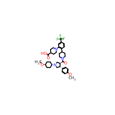 COc1ccc([C@@H]2CN([C@H]3CC[C@H](OC)CC3)C[C@H]2C(=O)N2CCC(c3ccc(C(F)(F)F)cc3N3CCC(C(=O)O)CC3)CC2)cc1